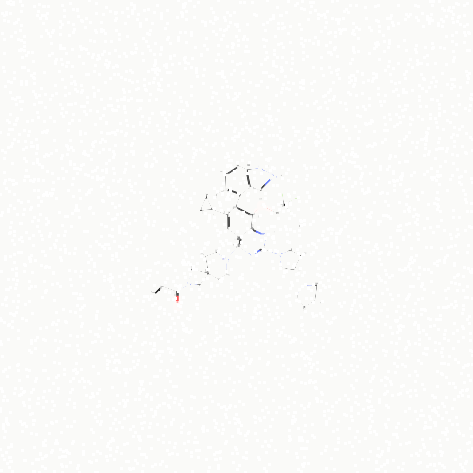 C=CC(=O)N1CC2(CCN(c3nc(N4CC[C@H](N5CCCC5)C4)nc4c(OCC(F)(F)F)c(-c5c(C)ccc6[nH]ncc56)c(C5CC5)cc34)CC2)C1